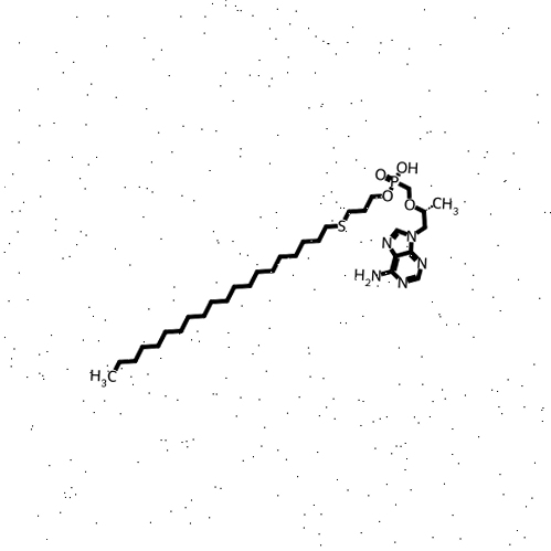 CCCCCCCCCCCCCCCCCCCCSCCCOP(=O)(O)CO[C@H](C)Cn1cnc2c(N)ncnc21